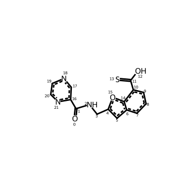 O=C(NCc1cc2cccc(C(O)=S)c2o1)c1cnccn1